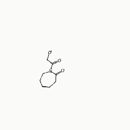 O=C(CCl)N1CCCCCC1=O